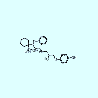 O=[PH](O)C1(C(CCNCC(O)COc2ccc(O)cc2)Oc2ccccc2)CCCCC1